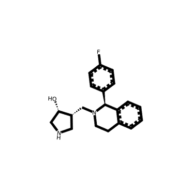 O[C@H]1CNC[C@H]1CN1CCc2ccccc2[C@@H]1c1ccc(F)cc1